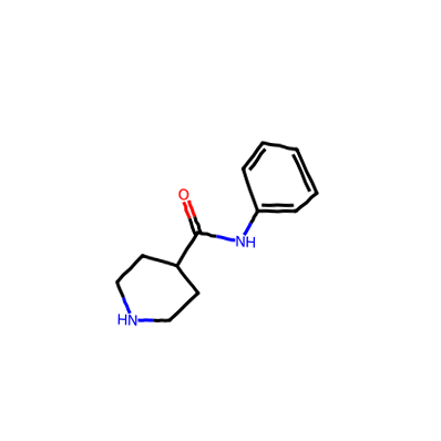 O=C(Nc1ccccc1)C1CCNCC1